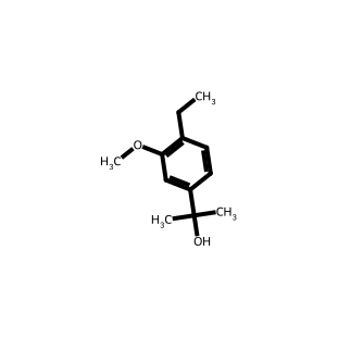 CCc1ccc(C(C)(C)O)cc1OC